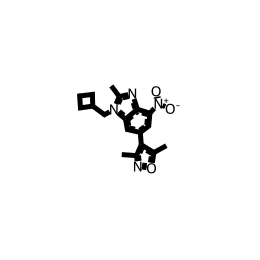 Cc1noc(C)c1-c1cc([N+](=O)[O-])c2nc(C)n(CC3CCC3)c2c1